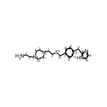 NCCN1CCN(CCSCc2ccc(Cc3ncc[nH]3)cc2)CC1